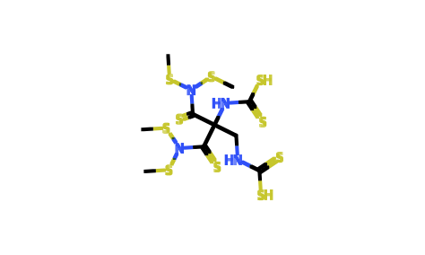 CSN(SC)C(=S)C(CNC(=S)S)(NC(=S)S)C(=S)N(SC)SC